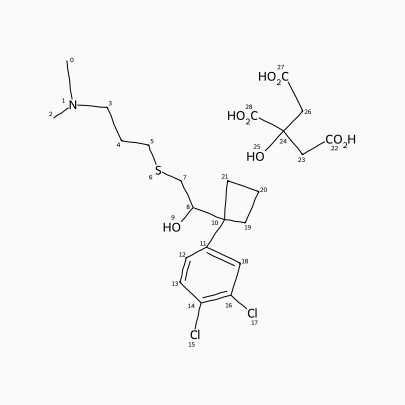 CN(C)CCCSCC(O)C1(c2ccc(Cl)c(Cl)c2)CCC1.O=C(O)CC(O)(CC(=O)O)C(=O)O